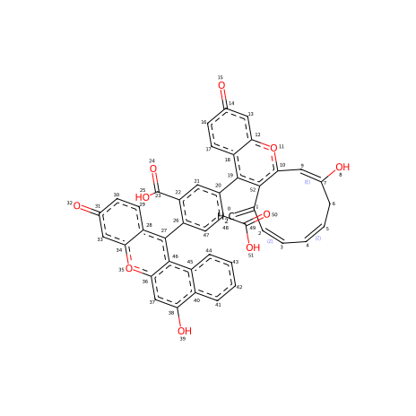 C=C1/C=C\C=C/C/C(O)=C\c2oc3cc(=O)ccc-3c(-c3cc(C(=O)O)c(-c4c5ccc(=O)cc-5oc5cc(O)c6ccccc6c45)cc3C(=O)O)c21